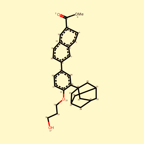 COC(=O)c1ccc2cc(-c3ccc(OCCCO)c(C45CC6CC(CC(C6)C4)C5)c3)ccc2c1